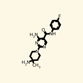 CC1(N)CCN(c2ncc(C(=O)Nc3ccc(F)cc3)c(N)n2)CC1